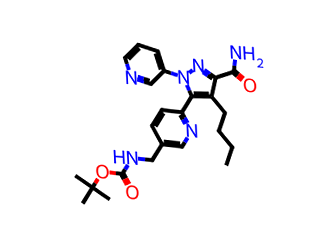 CCCCc1c(C(N)=O)nn(-c2cccnc2)c1-c1ccc(CNC(=O)OC(C)(C)C)cn1